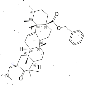 C[C@H]1[C@H](C)CC[C@]2(C(=O)OCc3ccccc3)CC[C@]3(C)C(=CC[C@@H]4[C@@]5(C)C/C(=C/N(C)C)C(=O)C(C)(C)[C@@H]5CC[C@]43C)[C@H]12